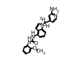 [2H]C([2H])(c1ccnc(N)c1)n1ccc2c(NC(=O)Nc3ccccc3OC)cccc21